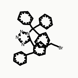 BrCc1ccc(-c2ccccc2)c(-c2nnnn2C(c2ccccc2)(c2ccccc2)c2ccccc2)c1